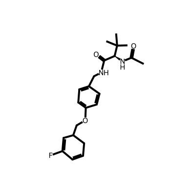 CC(=O)N[C@@H](C(=O)NCc1ccc(OCC2C=C(F)C=CC2)cc1)C(C)(C)C